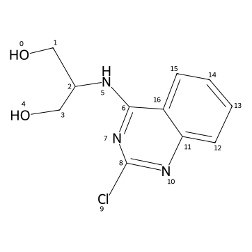 OCC(CO)Nc1nc(Cl)nc2ccccc12